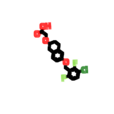 O=C(O)COC1CCc2cc(OCc3c(F)ccc(Cl)c3F)ccc2C1